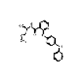 COCC(C)NC(=O)c1cccnc1Oc1ccc(Nc2ccccn2)cc1